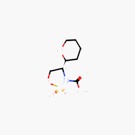 O=C(O)N1[C@H](C2CCCCO2)COS1(=O)=O